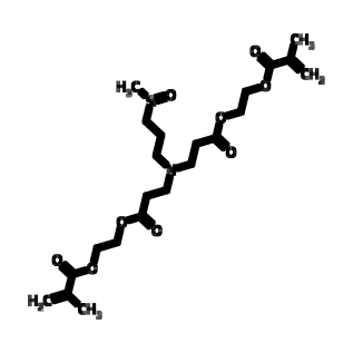 C=C(C)C(=O)OCCOC(=O)CCN(CCC[Si](C)=O)CCC(=O)OCCOC(=O)C(=C)C